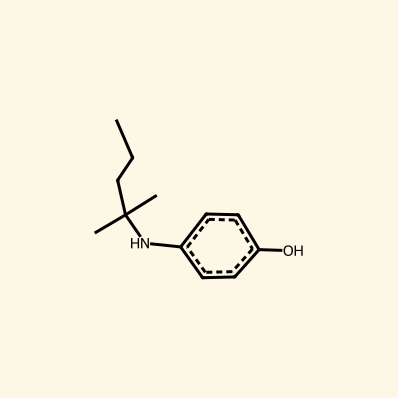 CCCC(C)(C)Nc1ccc(O)cc1